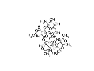 CC(=O)N[C@H]1C(C)O[C@H](CO)[C@@H](O[C@@H]2O[C@H](CO)[C@@H](O[C@@H]3O[C@H](CO)[C@@H](O[C@@H]4O[C@H](CO)[C@@H](O)[C@H](O)[C@H]4N)C(O)[C@H]3NC(C)=O)[C@H](O)[C@H]2NC(C)=O)C1O